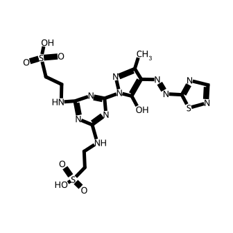 Cc1nn(-c2nc(NCCS(=O)(=O)O)nc(NCCS(=O)(=O)O)n2)c(O)c1N=Nc1ncns1